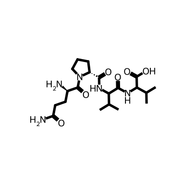 CC(C)C(NC(=O)C(NC(=O)[C@H]1CCCN1C(=O)[C@H](N)CCC(N)=O)C(C)C)C(=O)O